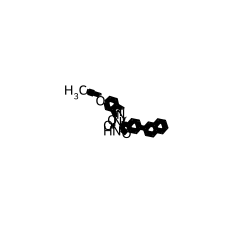 CC#CCOc1ccc2c(c1)C(=O)N(C[C@]1(c3ccc(-c4ccc5ccccc5c4)cc3)NC(=O)NC1=O)C2